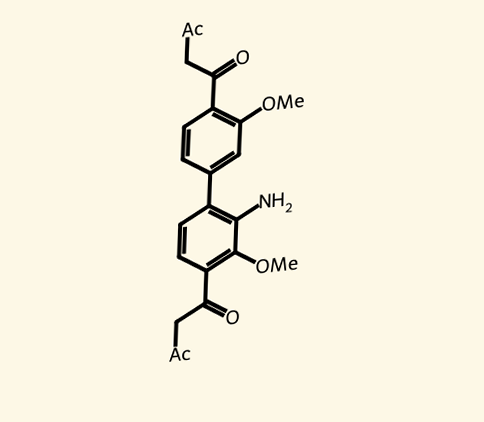 COc1cc(-c2ccc(C(=O)CC(C)=O)c(OC)c2N)ccc1C(=O)CC(C)=O